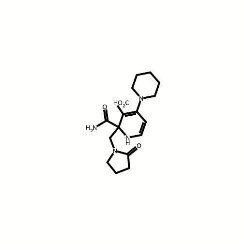 NC(=O)C1(CN2CCCC2=O)NC=CC(N2CCCCC2)=C1C(=O)O